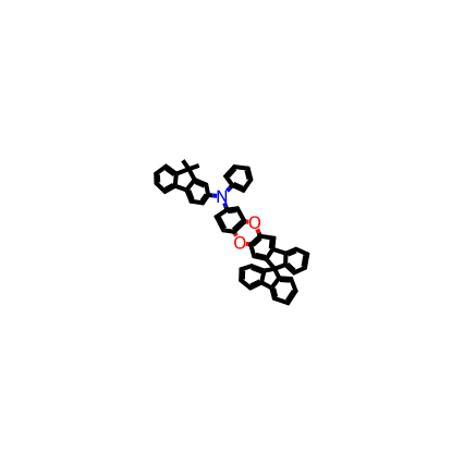 CC1(C)c2ccccc2-c2ccc(N(c3ccccc3)c3ccc4c(c3)Oc3cc5c(cc3O4)C3(c4ccccc4-c4ccccc43)c3ccccc3-5)cc21